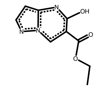 CCOC(=O)c1cn2nccc2nc1O